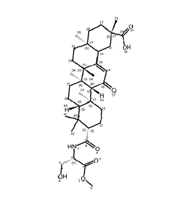 COC(=O)[C@H](CO)NC(=O)[C@H]1CC[C@]2(C)[C@H]3C(=O)C=C4C5C[C@@](C)(C(=O)O)CC[C@]5(C)CC[C@@]4(C)[C@]3(C)CC[C@H]2C1(C)C